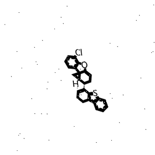 Clc1cccc2c1OC1=CC[C@H](C3=CCCc4c3sc3ccccc43)[C@H]3CC123